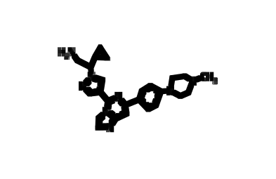 CN1CCN(c2ccc(-c3cc4nccn4c(-c4cnn(C(CN)C5CC5)c4)n3)cc2)CC1